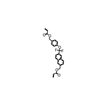 C=CC(=O)OCc1ccc(OC(F)(F)c2ccc3cc(COC(=O)C=C)ccc3c2)cc1